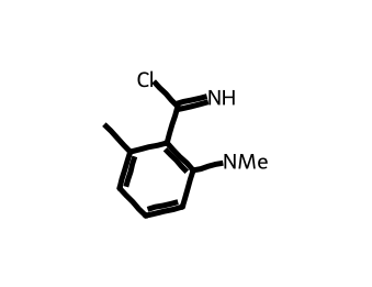 CNc1cccc(C)c1C(=N)Cl